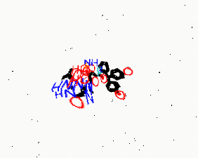 COc1ccc(C(OC(F)[C@H]2O[C@@H](n3cnc4c(=O)[nH]c(NC(=O)C(C)C)nc43)[C@@](O)(OC)[C@@H]2OP(N)O)(c2ccccc2)c2ccc(OC)cc2)cc1